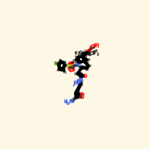 NC(=O)CCNC(=O)C[C@@H]1CCc2cc(C(O)(C(F)(F)F)C(F)(F)F)ccc2N1S(=O)(=O)c1ccc(F)cc1